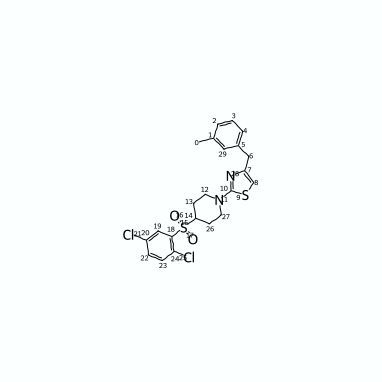 Cc1cccc(Cc2csc(N3CCC(S(=O)(=O)c4cc(Cl)ccc4Cl)CC3)n2)c1